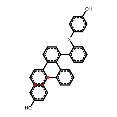 Oc1ccc(Sc2ccccc2-c2cccc(-c3ccccc3)c2-c2ccccc2Sc2ccc(O)cc2)cc1